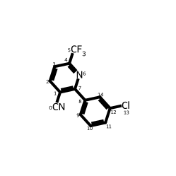 N#Cc1ccc(C(F)(F)F)nc1-c1cccc(Cl)c1